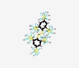 FS(F)(F)(F)(F)c1cc(S(F)(F)(F)(F)F)c(SSc2c(S(F)(F)(F)(F)F)cc(S(F)(F)(F)(F)F)cc2S(F)(F)(F)(F)F)c(S(F)(F)(F)(F)F)c1